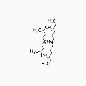 CC(C)C[CH2][AlH][CH2]CC(C)C.CCCCC[CH2][Al]([Cl])[CH2]CCCCC